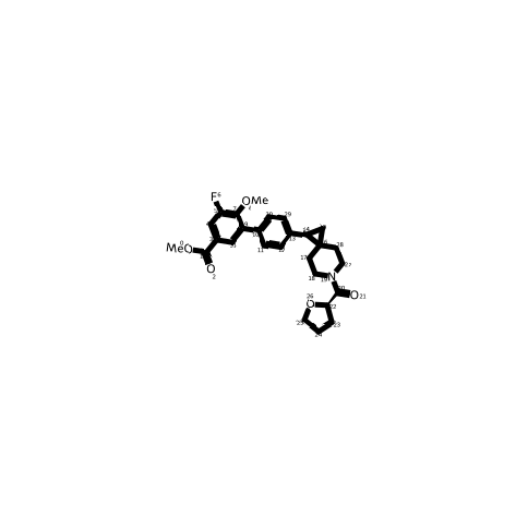 COC(=O)c1cc(F)c(OC)c(-c2ccc(C3CC34CCN(C(=O)[C@H]3CCCO3)CC4)cc2)c1